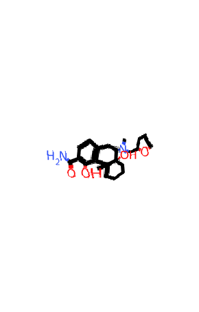 CN(CC1CCCO1)[C@@H]1Cc2ccc(C(N)=O)c(O)c2C2(C)CCCC[C@@]12O